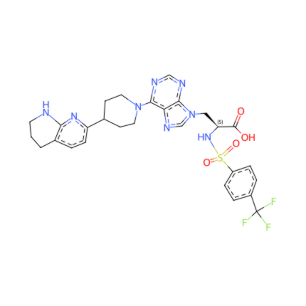 O=C(O)[C@H](Cn1cnc2c(N3CCC(c4ccc5c(n4)NCCC5)CC3)ncnc21)NS(=O)(=O)c1ccc(C(F)(F)F)cc1